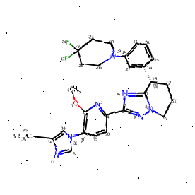 COc1nc(-c2nc3n(n2)CCC[C@H]3c2cccc(N3CCC(F)(F)CC3)c2)ccc1-n1cnc(C)c1